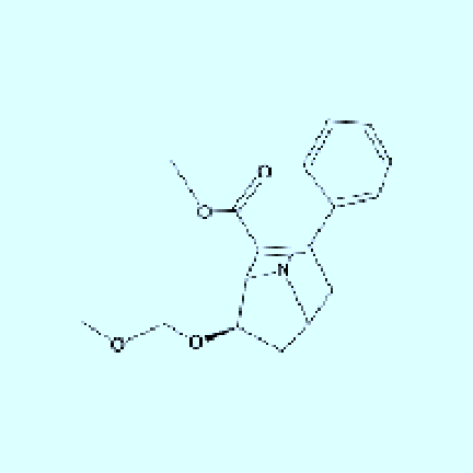 COCO[C@@H]1CC2CC(c3ccccc3)=C(C(=O)OC)C1N2C